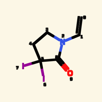 C=CN1CCC(I)(I)C1=O